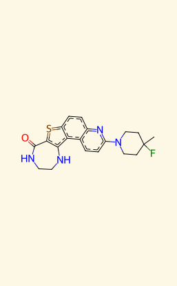 CC1(F)CCN(c2ccc3c(ccc4sc5c(c43)NCCNC5=O)n2)CC1